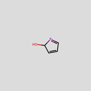 OC1C=CC=P1